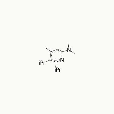 Cc1cc(N(C)C)nc(C(C)C)c1C(C)C